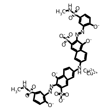 CNS(=O)(=O)c1ccc([O-])c(N=Nc2c(S(=O)(=O)[O-])cc3cc(Nc4ccc5c([O-])c(N=Nc6cc(S(=O)(=O)NC)ccc6[O-])c(S(=O)(=O)[O-])cc5c4)ccc3c2[O-])c1.[Cu+2].[Cu+2]